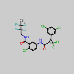 O=C(NCC(F)(F)C(F)(F)C(F)(F)F)c1cc(NC(=O)C2C(c3cc(Cl)cc(Cl)c3)C2(Cl)Cl)ccc1Cl